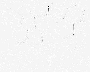 CCSc1cc(=O)c2cc(C)cc([C@@H](C)Nc3cccnc3C(=O)OC)c2o1